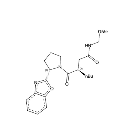 CCCC[C@H](CC(=O)NCOC)C(=O)N1CCC[C@H]1c1nc2ccccc2o1